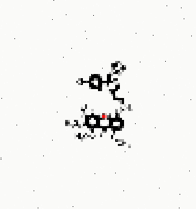 CCCC1COC(Cn2cncn2)(c2ccc(Cl)cc2Cl)O1.COc1cc(C)c(C(=O)c2c(OC)ccc(Br)c2C)c(OC)c1OC